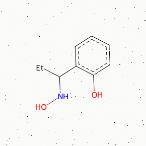 CCC(NO)c1ccccc1O